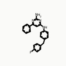 Nc1nc(Nc2ccc(Cc3ccc(F)cc3)cc2)cc(-c2ccccc2)n1